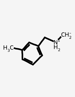 [CH2-][NH2+]Cc1cccc(C)c1